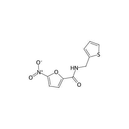 O=C(NCc1cccs1)c1ccc([N+](=O)[O-])o1